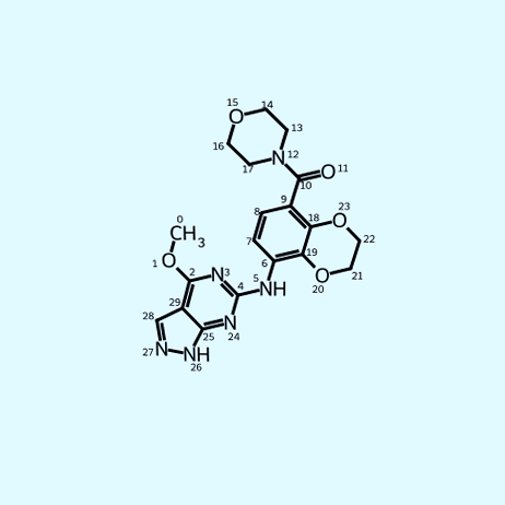 COc1nc(Nc2ccc(C(=O)N3CCOCC3)c3c2OCCO3)nc2[nH]ncc12